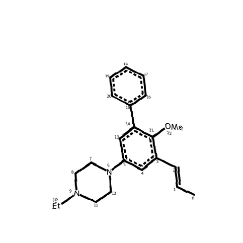 CC=Cc1cc(N2CCN(CC)CC2)cc(-c2ccccc2)c1OC